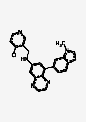 Cn1ccc2ccc(-c3cc(NCc4cnccc4Cl)cc4nccnc34)cc21